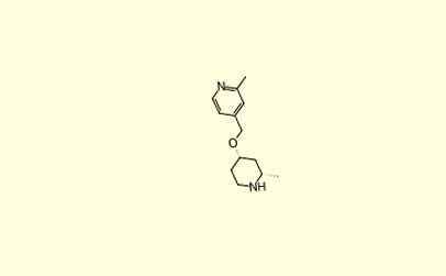 Cc1cc(CO[C@H]2CCN[C@@H](C)C2)ccn1